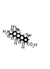 CN(C)c1cc(C(=O)O)c(O)c2c1CC1CC3C(C(=O)C(C(N)=O)=C(O)[C@H]3N(C)C)C(O)=C1C2=O